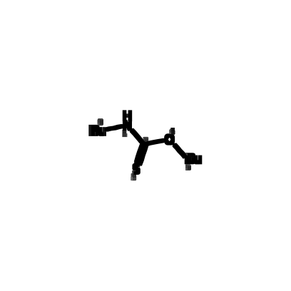 CCC(C)NC(=S)OC(C)CC